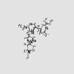 [CH2]c1cc(-c2cnc(N)c(Oc3cnn(C4CCN(C)CC4)c3)n2)cc(N(CC)CC)n1